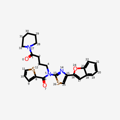 O=C(CCCN(C(=O)c1cccs1)c1nc(-c2cc3ccccc3o2)cs1)N1CCCCC1